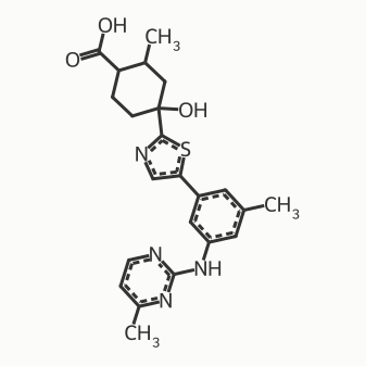 Cc1cc(Nc2nccc(C)n2)cc(-c2cnc(C3(O)CCC(C(=O)O)C(C)C3)s2)c1